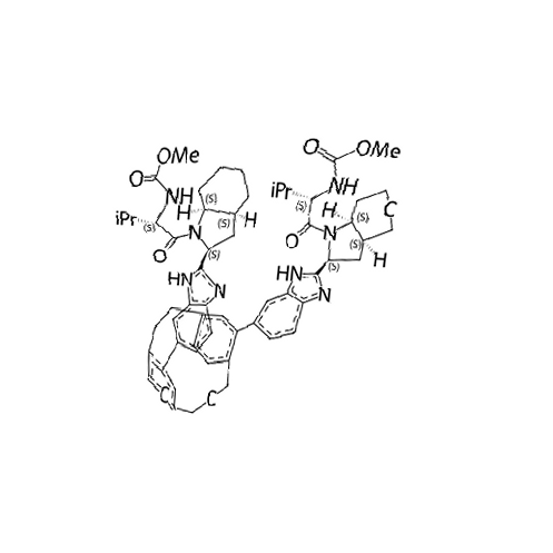 COC(=O)N[C@H](C(=O)N1[C@H](c2nc3ccc(-c4cc5ccc4CCCc4ccc(c(-c6ccc7nc([C@@H]8C[C@@H]9CCCC[C@@H]9N8C(=O)[C@@H](NC(=O)OC)C(C)C)[nH]c7c6)c4)CC5)cc3[nH]2)C[C@@H]2CCCC[C@@H]21)C(C)C